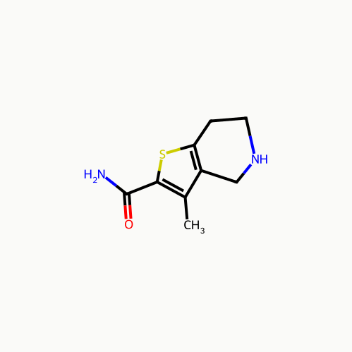 Cc1c(C(N)=O)sc2c1CNCC2